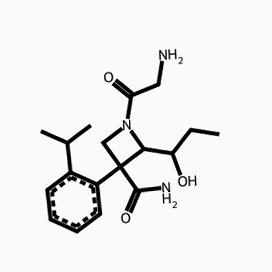 CCC(O)C1N(C(=O)CN)CC1(C(N)=O)c1ccccc1C(C)C